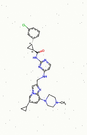 CN1CCN(c2cc(C3CC3)cn3cc(CNc4ccnc(NC(=O)[C@H]5C[C@@H]5c5cccc(Cl)c5)n4)nc23)CC1